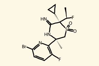 C[C@@H](F)[C@]1(C2CC2)C(=N)N[C@](C)(c2nc(Br)ccc2F)CS1(=O)=O